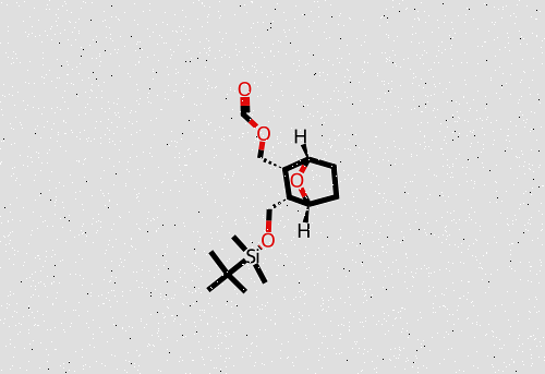 CC(C)(C)[Si](C)(C)OC[C@@H]1[C@H](COC=O)[C@@H]2CC[C@H]1O2